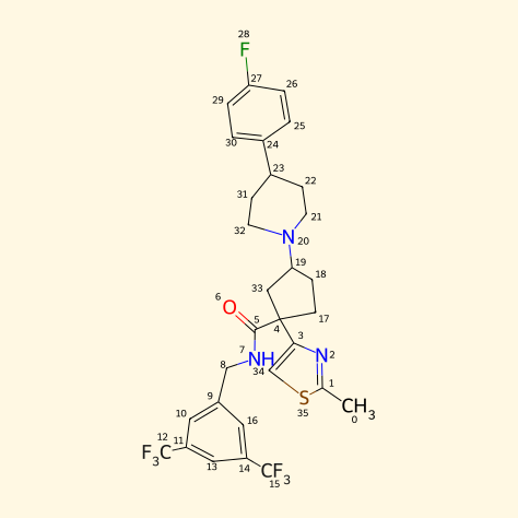 Cc1nc(C2(C(=O)NCc3cc(C(F)(F)F)cc(C(F)(F)F)c3)CCC(N3CCC(c4ccc(F)cc4)CC3)C2)cs1